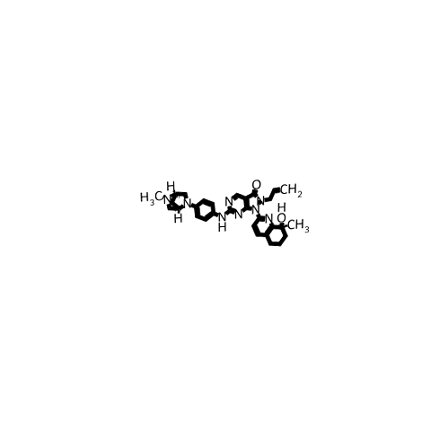 C=CCn1c(=O)c2cnc(Nc3ccc(N4C[C@@H]5C[C@H]4CN5C)cc3)nc2n1-c1ccc2c(n1)[C@](C)(O)CCC2